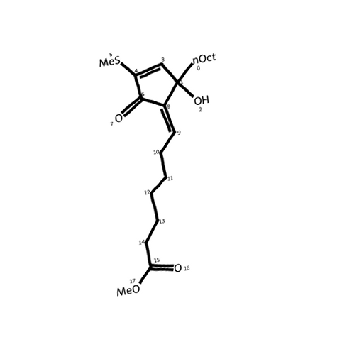 CCCCCCCCC1(O)C=C(SC)C(=O)/C1=C\CCCCCC(=O)OC